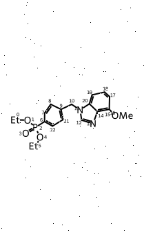 CCOP(=O)(OCC)c1ccc(Cn2cnc3c(OC)cccc32)cc1